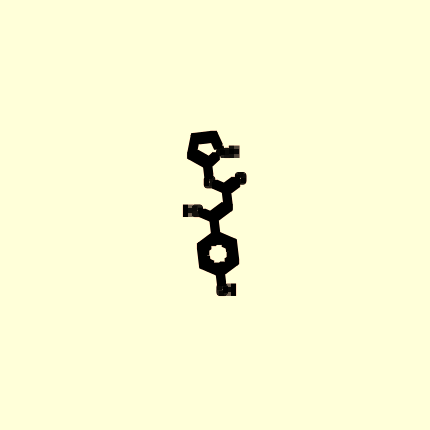 O=C(/C=C(\O)c1ccc(O)cc1)OC1=CC=C[AsH]1